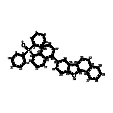 O=P(c1ccccc1)(c1ccccc1)c1cccc2c(-c3ccc4oc5c6ccccc6ccc5c4c3)cccc12